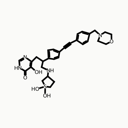 O=c1[nH]cnc(CC(CNC2CCS(O)(O)C2)c2ccc(C#Cc3ccc(CN4CCOCC4)cc3)cc2)c1O